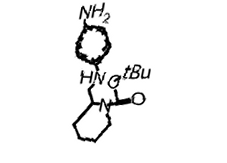 CC(C)(C)OC(=O)N1CCCCC1CNc1ccc(N)cc1